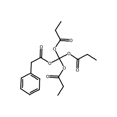 CCC(=O)OC(OC(=O)CC)(OC(=O)CC)OC(=O)Cc1cc[c]cc1